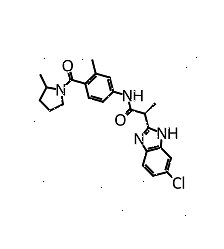 Cc1cc(NC(=O)[C@@H](C)c2nc3ccc(Cl)cc3[nH]2)ccc1C(=O)N1CCCC1C